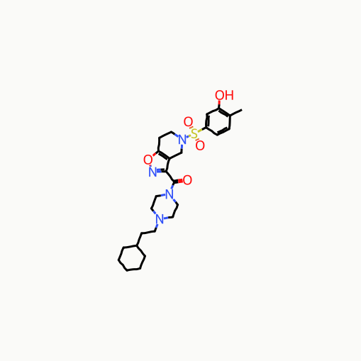 Cc1ccc(S(=O)(=O)N2CCc3onc(C(=O)N4CCN(CCC5CCCCC5)CC4)c3C2)cc1O